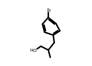 CC(CO)Cc1ccc(Br)cc1